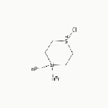 CCC[Si]1(CCC)CC[SiH](Cl)CC1